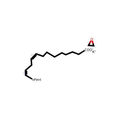 C1CO1.CCCCC/C=C\C/C=C\CCCCCCCC(=O)[O-].[K+]